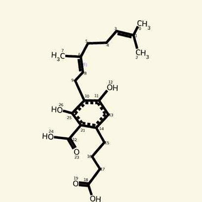 CC(C)=CCC/C(C)=C/Cc1c(O)cc(CCCC(=O)O)c(C(=O)O)c1O